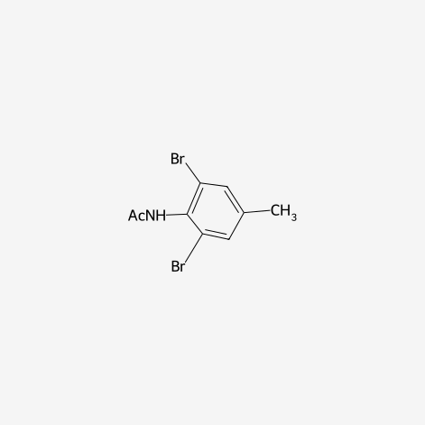 CC(=O)Nc1c(Br)cc(C)cc1Br